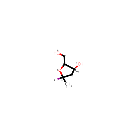 CC1(I)C[C@H](O)C(CO)O1